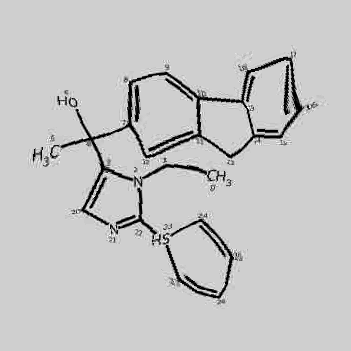 CCn1c(C(C)(O)c2ccc3c(c2)Cc2ccccc2-3)cnc1[SH]1C=CC=C1